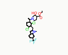 C=C(c1ccc(Cl)c(Cc2cc3ccc(C(F)(F)F)cc3n2C)c1Cl)N1CCC(C(=O)OCC)C(O)C1